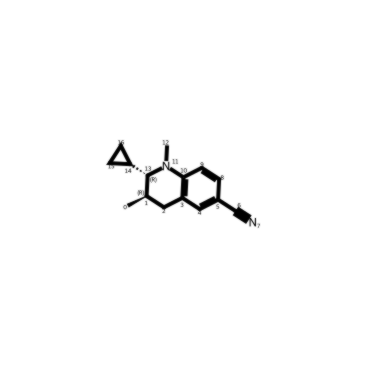 C[C@@H]1Cc2cc(C#N)ccc2N(C)[C@H]1C1CC1